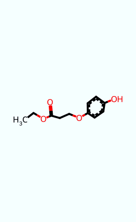 CCOC(=O)CCOc1ccc(O)cc1